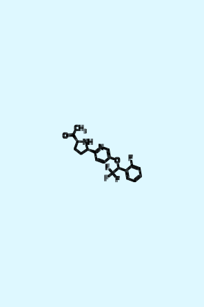 CC(=O)[C@@H]1CC[C@H](c2ccc(OC(c3ccccc3F)C(F)(F)F)cn2)N1